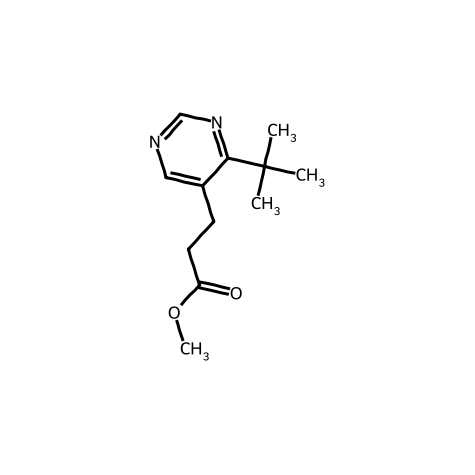 COC(=O)CCc1cncnc1C(C)(C)C